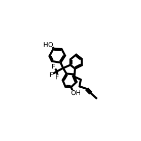 CC#CCCCc1ccccc1C(c1ccc(O)cc1)(c1ccc(O)cc1)C(F)(F)F